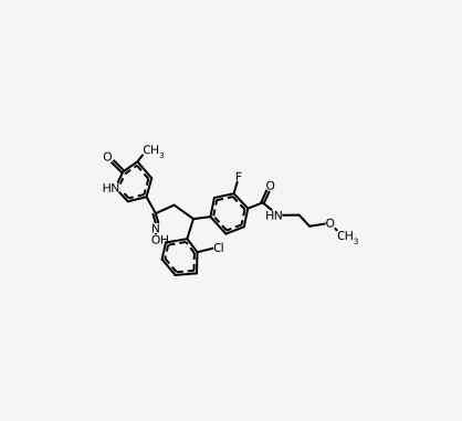 COCCNC(=O)c1ccc(C(C/C(=N\O)c2c[nH]c(=O)c(C)c2)c2ccccc2Cl)cc1F